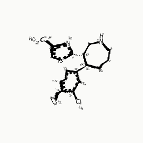 O=C(O)c1csc([C@@H]2CNCCC[C@H]2c2ccc(Cl)c(Cl)c2)n1